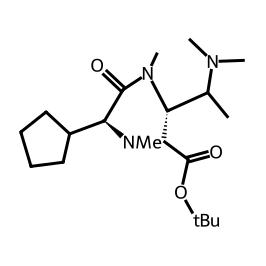 CN[C@H](C(=O)N(C)[C@@H](CC(=O)OC(C)(C)C)C(C)N(C)C)C1CCCC1